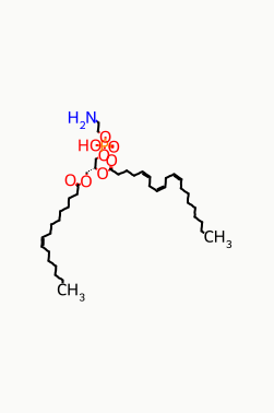 CCCCCC/C=C\CCCCCCCC(=O)OC[C@H](COP(=O)(O)OCCN)OC(=O)CCC/C=C\C/C=C\C/C=C\CCCCCCCC